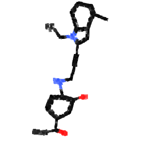 CNC(=O)c1ccc(NCC#Cc2cc3c(C)cccc3n2CC(F)(F)F)c(O)c1